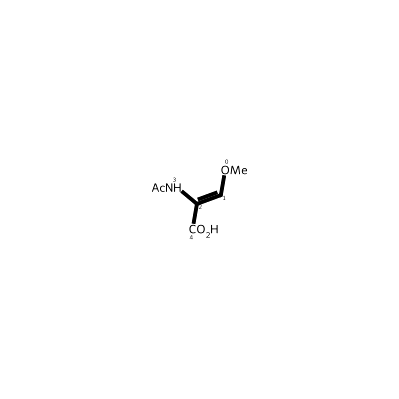 CO/C=C(\NC(C)=O)C(=O)O